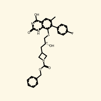 Cc1cc2c(O)nc(=O)[nH]c2c(SC[C@H](O)CC2CN(C(=O)OCc3ccccc3)C2)c1-c1ccc(F)cc1